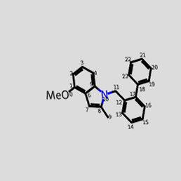 COc1cccc2c1cc(C)n2Cc1ccccc1-c1ccccc1